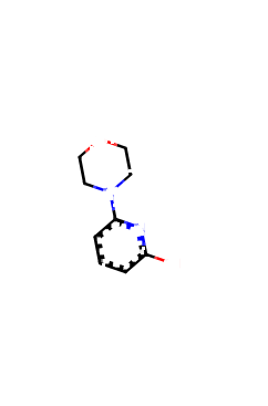 Oc1cccc(N2CCOCC2)n1